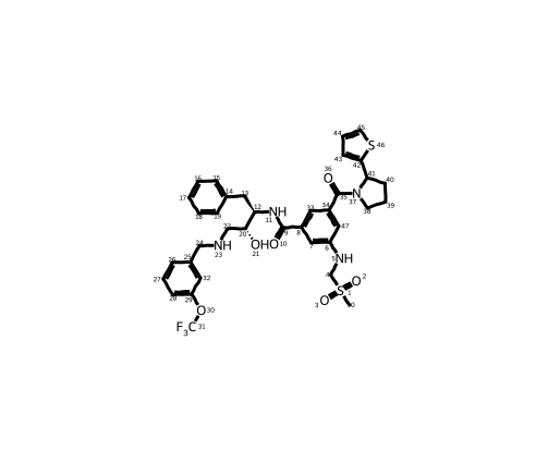 CS(=O)(=O)CNc1cc(C(=O)N[C@H](Cc2ccccc2)[C@H](O)CNCc2cccc(OC(F)(F)F)c2)cc(C(=O)N2CCCC2c2cccs2)c1